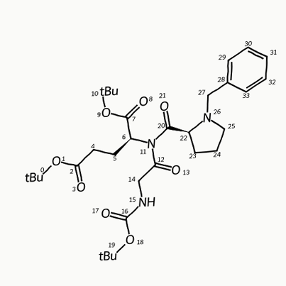 CC(C)(C)OC(=O)CC[C@@H](C(=O)OC(C)(C)C)N(C(=O)CNC(=O)OC(C)(C)C)C(=O)[C@@H]1CCCN1Cc1ccccc1